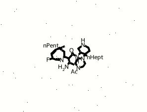 CCCCCCCC1(N2CCN(C(C)=O)CC2)CCNCC1NC(=O)C(C(C)N)C1CC(C)(CCCCC)/C=C\C(F)/C=N\1